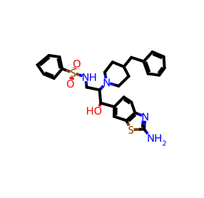 Nc1nc2ccc(C(O)C(CNS(=O)(=O)c3ccccc3)N3CCC(Cc4ccccc4)CC3)cc2s1